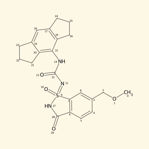 COCc1ccc2c(c1)S(=O)(=NC(=O)Nc1c3c(cc4c1CCC4)CCC3)NC2=O